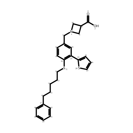 O=C(O)C1CN(Cc2ccc(SCCCCCc3ccccc3)c(-c3cccs3)c2)C1